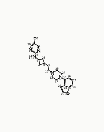 Fc1cnc(NC2CC(CCN3CCN(c4cccc5sccc45)CC3)C2)nc1